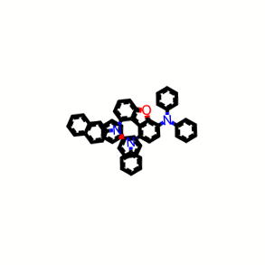 c1ccc(N(c2ccccc2)c2ccc(N(c3ccccc3)c3ccccc3)c3c2oc2cccc(N(c4ccccc4)c4ccc5ccccc5c4)c23)cc1